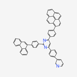 c1cncc(-c2ccc(-c3cc(-c4ccc(-c5ccc6ccc7cccc8ccc5c6c78)cc4)nc(-c4ccc(-c5cc6ccccc6c6ccccc56)cc4)n3)cc2)c1